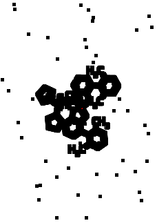 Cc1cccc(C)c1-c1cccc2c1C=C[CH]2[Hf]([CH3])([CH3])([CH]1C=Cc2c(-c3c(C)cccc3C)cccc21)=[Si](C1CCCC1)C1CCCC1